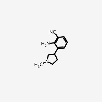 CN1CCC(c2cccc(C#N)c2N)C1